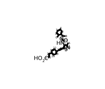 Cc1ccccc1C(C)OC(=O)Nc1c(C)nsc1C#Cc1ccc(/C=C/C(=O)O)cc1